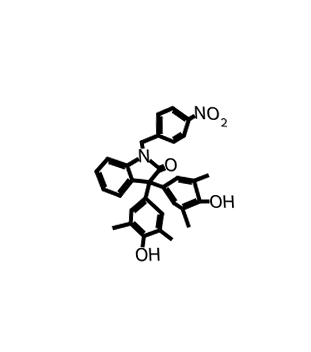 Cc1cc(C2(c3cc(C)c(O)c(C)c3)C(=O)N(Cc3ccc([N+](=O)[O-])cc3)c3ccccc32)cc(C)c1O